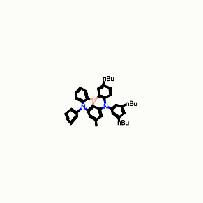 CCCCc1cc(CCCC)cc(N2c3ccc(CCCC)cc3B3c4ccccc4N(c4ccccc4)c4cc(C)cc2c43)c1